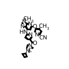 Cc1cc(C#N)ncc1Oc1cc(Nc2ccc(C(=O)N3CCN(C4CCC4)CC3)cn2)c2ncn(C)c2n1